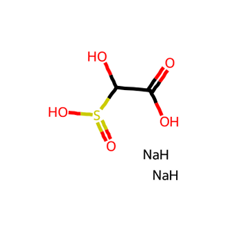 O=C(O)C(O)S(=O)O.[NaH].[NaH]